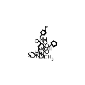 C[C@H]1CCN(C2CCSCC2)[C@@H]2CN3C=C(C(=O)NCc4ccc(F)cc4)C(=O)C(O)(OCc4ccccc4)C3C(=O)N12